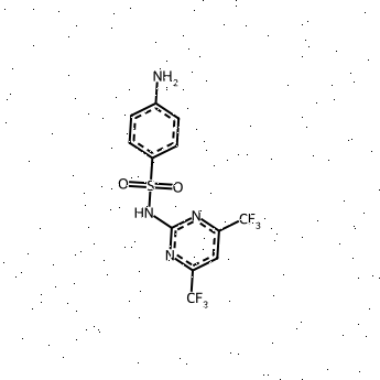 Nc1ccc(S(=O)(=O)Nc2nc(C(F)(F)F)cc(C(F)(F)F)n2)cc1